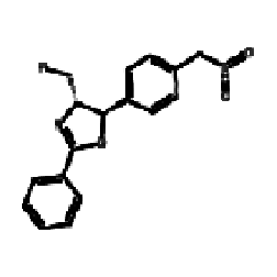 O=[SH](=O)Cc1ccc([C@H]2OC(c3ccccc3)=N[C@@H]2CF)cc1